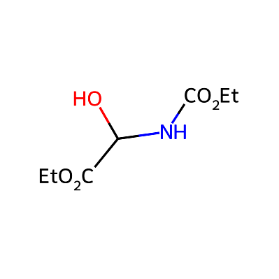 CCOC(=O)NC(O)C(=O)OCC